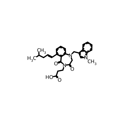 CC(C)C/C=C/c1cccc2c1C(=O)N(CCC(=O)O)C(=O)CN2Cc1cn(C)c2ccccc12